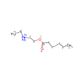 CCCCCC(=O)OCCNCC